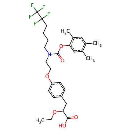 CCOC(Cc1ccc(OCCN(CCCCC(F)(F)C(F)(F)F)C(=O)Oc2cc(C)c(C)cc2C)cc1)C(=O)O